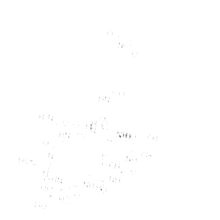 C=C1C[C@@H]2NC(=O)[C@H]([C@@H](C)[C@@H](O)CO)NC(=O)[C@@H]3C[C@@H](O)CN3C(=O)[C@H](CC(N)=O)NC(=O)[C@H](Cc3c1ccc(O)c3CSCCNC(=O)CCCCCN1C(=O)C=CC1=O)NC(=O)CNC(=O)[C@H]([C@@H](C)CC)NC(=O)CNC2=O